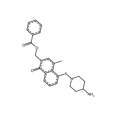 Cc1cn(COC(=O)c2ccccc2)c(=O)c2cccc(SN3CCC(N)CC3)c12